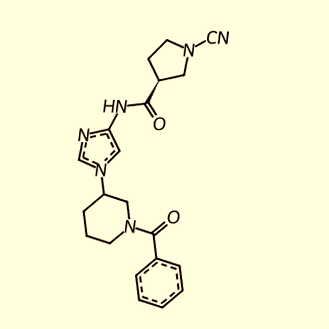 N#CN1CC[C@H](C(=O)Nc2cn(C3CCCN(C(=O)c4ccccc4)C3)cn2)C1